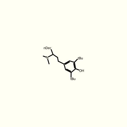 CCCCCCCCCCC(CCc1cc(C(C)(C)C)c(O)c(C(C)(C)C)c1)N(C)C